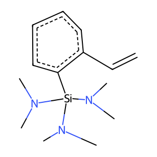 C=Cc1ccccc1[Si](N(C)C)(N(C)C)N(C)C